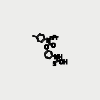 CCCN(C(=O)Oc1cccc(NC(O)=S)c1)c1ccc(C)cc1